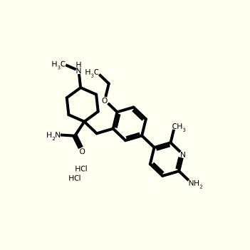 CCOc1ccc(-c2ccc(N)nc2C)cc1CC1(C(N)=O)CCC(NC)CC1.Cl.Cl